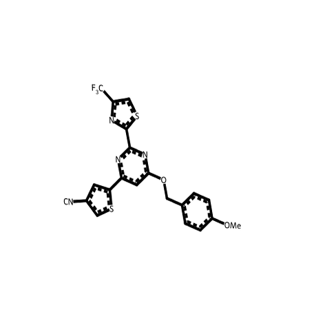 [C-]#[N+]c1csc(-c2cc(OCc3ccc(OC)cc3)nc(-c3nc(C(F)(F)F)cs3)n2)c1